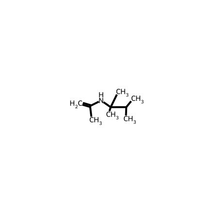 C=C(C)NC(C)(C)C(C)C